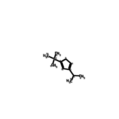 CC(C)C1=C[CH]C([Si](C)(C)C)=C1